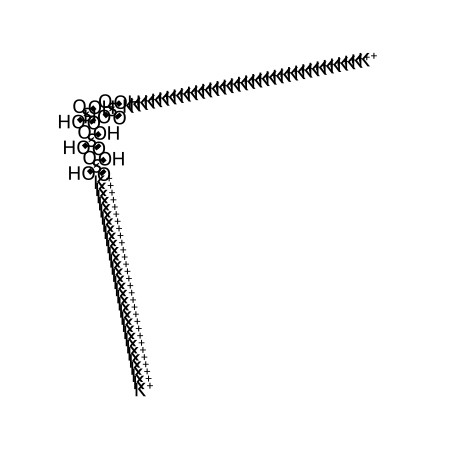 O=S(=O)(O)O.O=S(=O)(O)O.O=S(=O)(O)O.O=S(=O)(O)O.[K+].[K+].[K+].[K+].[K+].[K+].[K+].[K+].[K+].[K+].[K+].[K+].[K+].[K+].[K+].[K+].[K+].[K+].[K+].[K+].[K+].[K+].[K+].[K+].[K+].[K+].[K+].[K+].[K+].[K+].[K+].[K+].[K+].[K+].[K+].[K+].[K+].[K+].[K+].[K+].[K+].[K+].[K+].[K+].[K+].[K+].[K+].[K+].[K+].[K+].[K+].[K+].[K+].[K+].[K+].[K+].[K+].[K+].[K+].[K+].[K+].[K+].[K+].[K+]